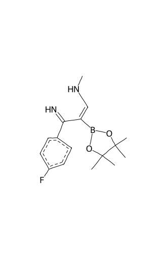 CN/C=C(/B1OC(C)(C)C(C)(C)O1)C(=N)c1ccc(F)cc1